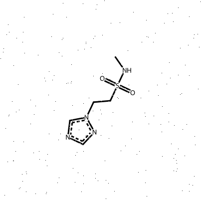 CNS(=O)(=O)CCn1cncn1